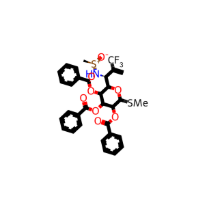 C=C([C@@H](N[S@@+](C)[O-])C1OC(SC)C(OC(=O)c2ccccc2)C(OC(=O)c2ccccc2)C1OC(=O)c1ccccc1)C(F)(F)F